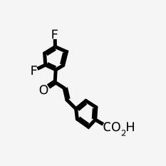 O=C(O)c1ccc(/C=C/C(=O)c2ccc(F)cc2F)cc1